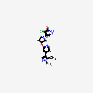 Cc1c(-c2ccnc(O[C@@H]3CCN(c4cn[nH]c(=O)c4Cl)C3)c2)cnn1C